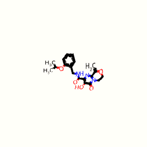 C=C1OCCn2c1nc(C(=O)NCc1ccccc1OC(C)C)c(O)c2=O